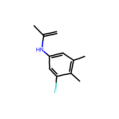 C=C(C)Nc1cc(C)c(C)c(F)c1